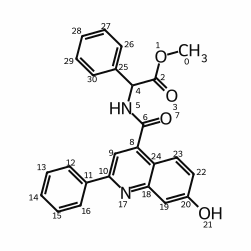 COC(=O)C(NC(=O)c1cc(-c2ccccc2)nc2cc(O)ccc12)c1ccccc1